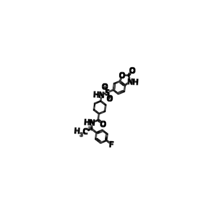 C[C@@H](NC(=O)C1CCC(NS(=O)(=O)c2ccc3[nH]c(=O)oc3c2)CC1)c1ccc(F)cc1